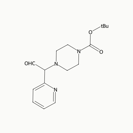 CC(C)(C)OC(=O)N1CCN(C(C=O)c2ccccn2)CC1